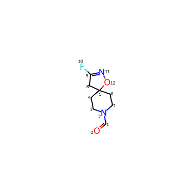 O=CN1CCC2(CC1)CC(F)=NO2